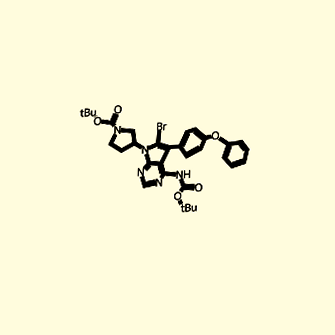 CC(C)(C)OC(=O)Nc1ncnc2c1c(-c1ccc(Oc3ccccc3)cc1)c(Br)n2C1CCN(C(=O)OC(C)(C)C)C1